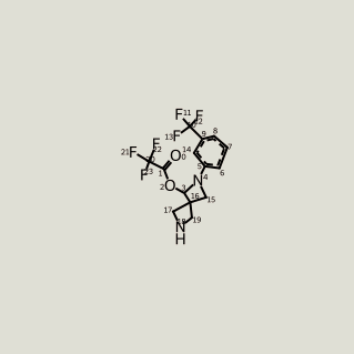 O=C(OC1N(c2cccc(C(F)(F)F)c2)CC12CNC2)C(F)(F)F